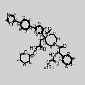 CC(C)(C)OC(=O)N[C@@H](C(=O)N1CCC(CC(=O)NOC2CCCCO2)(c2ccc(-c3ccc(-c4cnco4)cc3)s2)S(=O)(=O)CC1)c1ccccc1